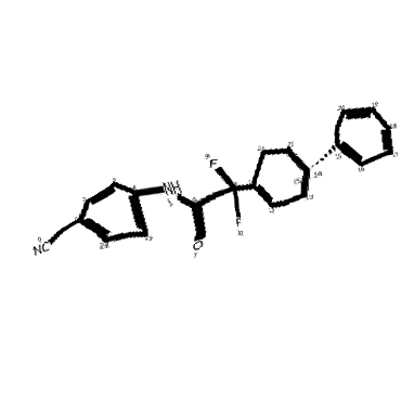 N#Cc1ccc(NC(=O)C(F)(F)C2=CC[C@@H](c3ccccc3)CC2)cc1